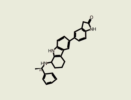 C[C@@H](NC1CCCc2c1[nH]c1ccc(-c3ccc4c(c3)CC(=O)N4)cc21)c1ccccc1